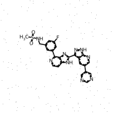 CS(=O)(=O)NCc1cc(F)cc(-c2nccc3[nH]c(-c4n[nH]c5ncc(-c6cncnc6)cc45)nc23)c1